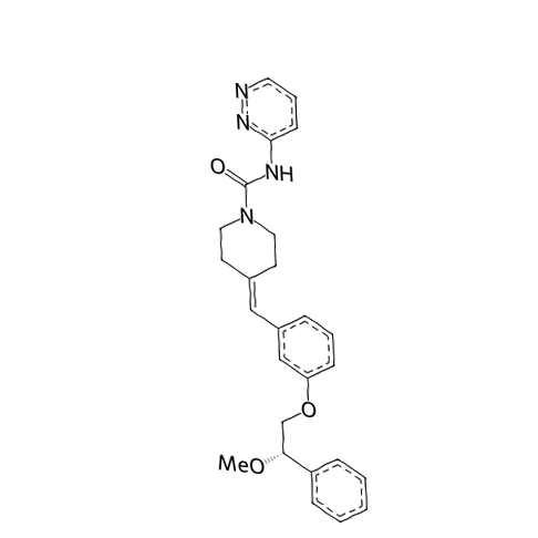 CO[C@H](COc1cccc(C=C2CCN(C(=O)Nc3cccnn3)CC2)c1)c1ccccc1